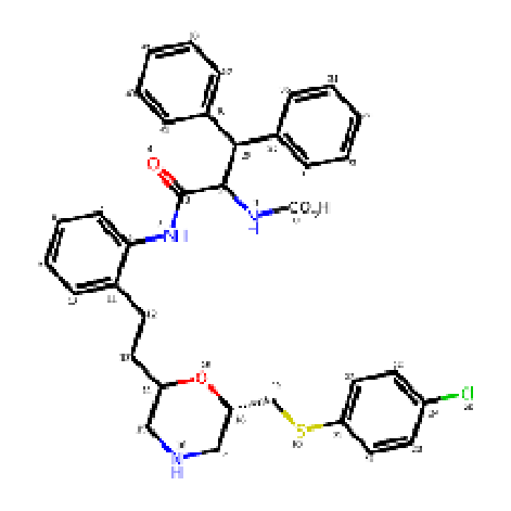 O=C(O)NC(C(=O)Nc1ccccc1CCC1CNC[C@@H](CSc2ccc(Cl)cc2)O1)C(c1ccccc1)c1ccccc1